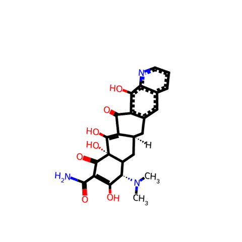 CN(C)[C@@H]1C(O)=C(C(N)=O)C(=O)[C@@]2(O)C(O)=C3C(=O)c4c(cc5cccnc5c4O)C[C@H]3CC12